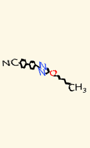 CC=CCCCCOc1cnc(-c2ccc(-c3ccc(C#N)cc3)cc2)nc1